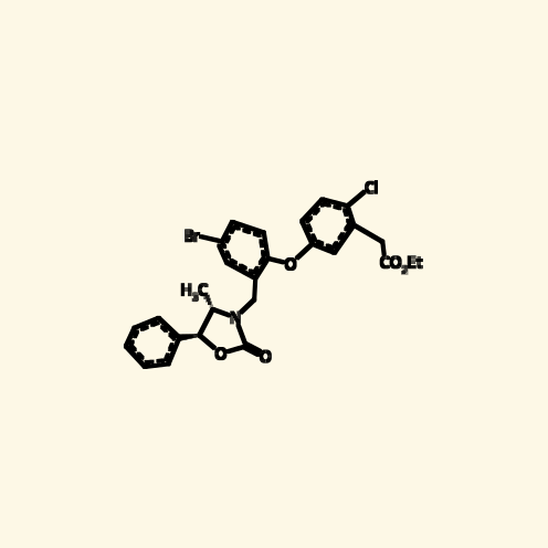 CCOC(=O)Cc1cc(Oc2ccc(Br)cc2CN2C(=O)O[C@@H](c3ccccc3)[C@@H]2C)ccc1Cl